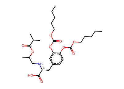 CCCCCOC(=O)Oc1ccc(C[C@H](NCC(C)OC(=O)C(C)C)C(=O)O)cc1OC(=O)OCCCCC